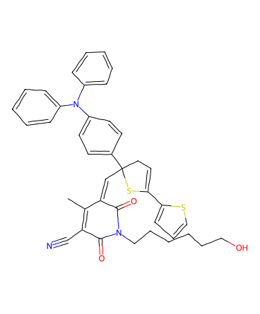 CC1=C(C#N)C(=O)N(CCCCCCO)C(=O)C1=CC1(c2ccc(N(c3ccccc3)c3ccccc3)cc2)CC=C(c2cccs2)S1